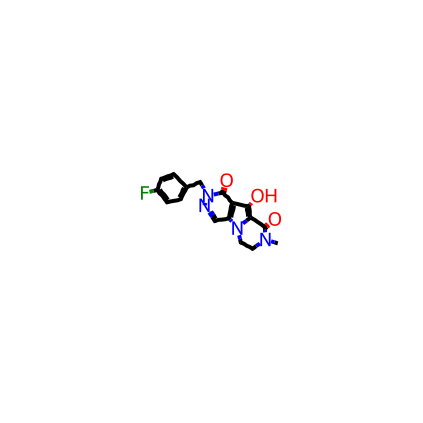 CN1CCn2c(c(O)c3c(=O)n(Cc4ccc(F)cc4)ncc32)C1=O